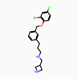 Clc1ccc(OCc2cccc(CCCNCC3CNC3)c2)c(Br)c1